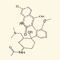 COc1cccc(C2(O)CCC(NC(C)=O)CC2CN(C)C)c1-c1c(O)c2ccc(Cl)cc2[nH]c1=O